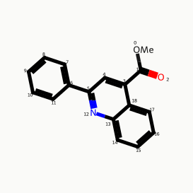 COC(=O)c1cc(-c2ccccc2)nc2ccccc12